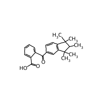 CC1C(C)(C)c2ccc(C(=O)c3ccccc3C(=O)O)cc2C1(C)C